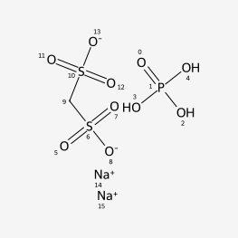 O=P(O)(O)O.O=S(=O)([O-])CS(=O)(=O)[O-].[Na+].[Na+]